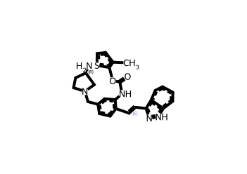 Cc1ccsc1OC(=O)Nc1cc(CN2CC[C@@H](N)C2)ccc1/C=C/c1n[nH]c2ccccc12